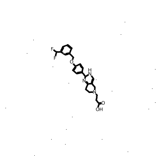 O=C(O)CCN1CCC2=NC(c3ccc(OCc4cccc(C(F)F)c4)cc3)NC=C2C1